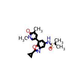 Cc1cc(-c2cc(N[S+]([O-])C(C)C)cc3nc(C4CC4)oc23)cn(C)c1=O